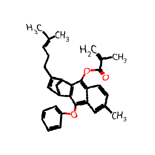 C=C(C)C(=O)Oc1c2c(c(Oc3ccccc3)c3cc(C)ccc13)C1C=C(CCC=C(C)C)C2C1